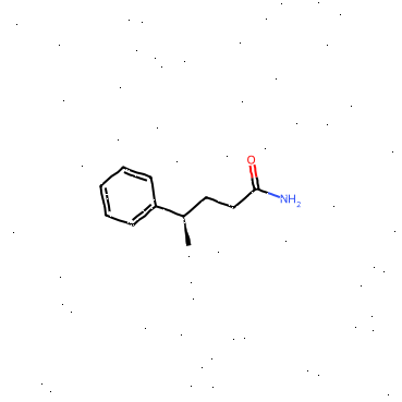 C[C@H](CCC(N)=O)c1ccccc1